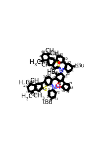 CC(C)(C)c1ccc(Nc2c(-c3c4c(cc5c3oc3ccccc35)N(c3ccc(C(C)(C)C)cc3-c3ccccc3)c3sc5cc6c(cc5c3B4)C(C)(C)CCC6(C)C)ccc3c2sc2cc4c(cc23)C(C)(C)CCC4(C)C)cc1